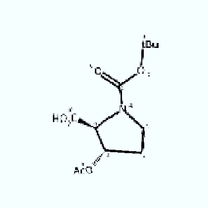 CC(=O)O[C@H]1CCN(C(=O)OC(C)(C)C)[C@@H]1C(=O)O